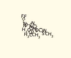 Cc1nc2ccc(Oc3ccc4ncc(-c5cnn(CC6CC(F)(F)C6)c5)nc4c3C3=CC(C)(C)OC3(C)C)cc2s1